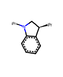 CC(C)[C@@H]1CN(C(C)C)c2ccccc21